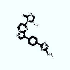 CC(C)[C@H]1COC(=O)N1c1ccn2ncc(-c3ccc(-c4nnc(N)s4)cc3)c2n1